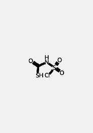 O=C(S)NS(=O)(=O)Cl